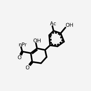 CCCC(=O)C1=C(O)C(c2ccc(O)c(C(C)=O)c2)CCC1=O